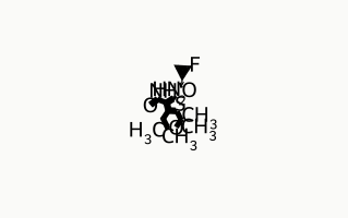 CC1(C)Cc2c(sc(NC(=O)[C@@H]3C[C@@H]3F)c2C(N)=O)C(C)(C)O1